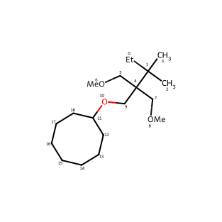 CCC(C)(C)C(COC)(COC)COC1CCCCCCC1